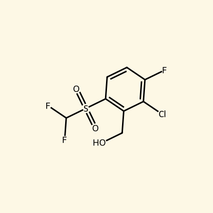 O=S(=O)(c1ccc(F)c(Cl)c1CO)C(F)F